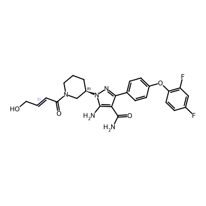 NC(=O)c1c(-c2ccc(Oc3ccc(F)cc3F)cc2)nn([C@@H]2CCCN(C(=O)/C=C/CO)C2)c1N